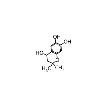 CC1(C)CC(O)c2cc(O)c(O)cc2O1